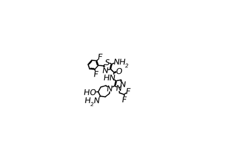 Nc1sc(-c2c(F)cccc2F)nc1C(=O)Nc1cnn(CC(F)F)c1N1CCC(N)C(O)CC1